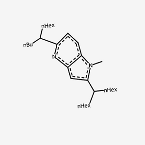 CCCCCCC(CCCC)c1ccc2c(cc(C(CCCCCC)CCCCCC)n2C)n1